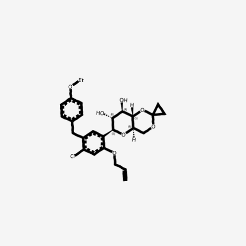 C=CCOc1cc(Cl)c(Cc2ccc(OCC)cc2)cc1[C@@H]1O[C@@H]2COC3(CC3)O[C@H]2[C@H](O)[C@H]1O